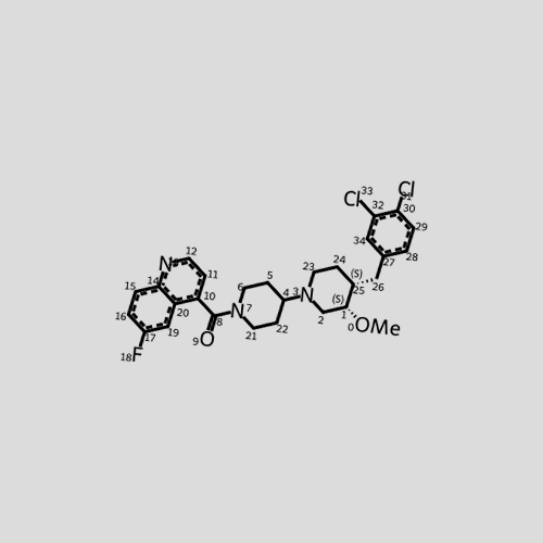 CO[C@@H]1CN(C2CCN(C(=O)c3ccnc4ccc(F)cc34)CC2)CC[C@@H]1Cc1ccc(Cl)c(Cl)c1